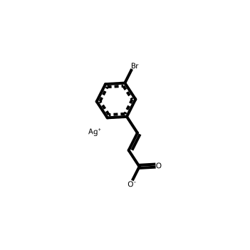 O=C([O-])C=Cc1cccc(Br)c1.[Ag+]